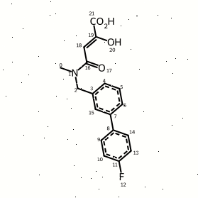 CN(Cc1cccc(-c2ccc(F)cc2)c1)C(=O)C=C(O)C(=O)O